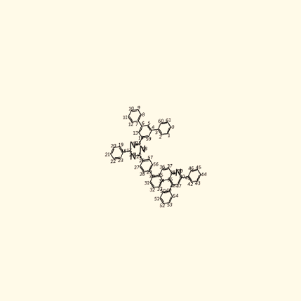 c1ccc(-c2cc(-c3ccccc3)cc(-c3nc(-c4ccccc4)nc(-c4ccc(-c5cccc6c5ccc5nc(-c7ccccc7)cc(-c7ccccc7)c56)cc4)n3)c2)cc1